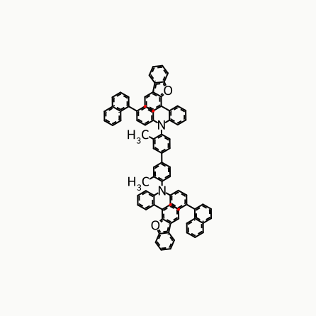 Cc1cc(-c2ccc(N(c3ccc(-c4cccc5ccccc45)cc3)c3ccccc3-c3cccc4c3oc3ccccc34)c(C)c2)ccc1N(c1ccc(-c2cccc3ccccc23)cc1)c1ccccc1-c1cccc2c1oc1ccccc12